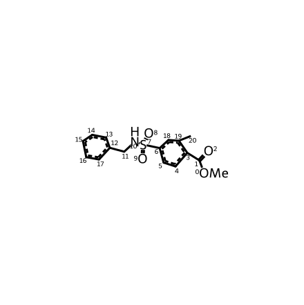 COC(=O)c1ccc(S(=O)(=O)NCc2ccccc2)cc1C